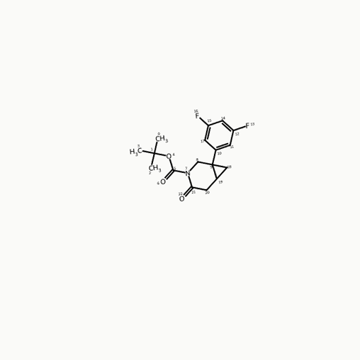 CC(C)(C)OC(=O)N1CC2(c3cc(F)cc(F)c3)CC2CC1=O